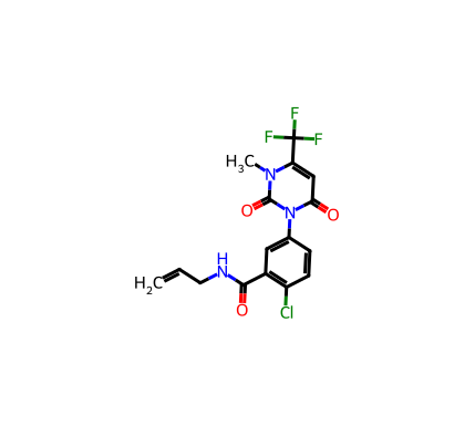 C=CCNC(=O)c1cc(-n2c(=O)cc(C(F)(F)F)n(C)c2=O)ccc1Cl